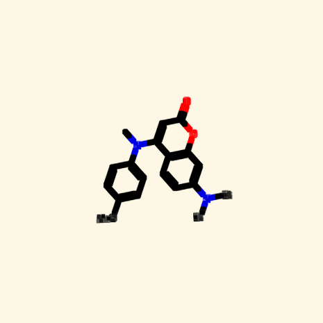 CCN(CC)c1ccc2c(N(C)c3ccc(OC)cc3)cc(=O)oc2c1